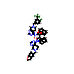 O=C(Nc1ncnc2c1CCN(Cc1ccc3c(c1)CCO3)C2)C(C(C(=O)Nc1ncnc2c1CCN(Cc1ccc(F)c(C(F)(F)F)c1)C2)C12CC3CC(CC(C3)C1)C2)C12CC3CC(CC(C3)C1)C2